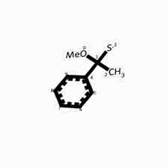 COC(C)([S])c1ccccc1